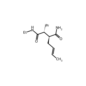 C/C=C/C[C@H](C(N)=O)[C@H](C(=O)NCC)C(C)C